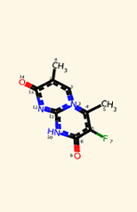 Cc1cn2c(C)c(F)c(=O)[nH]c2nc1=O